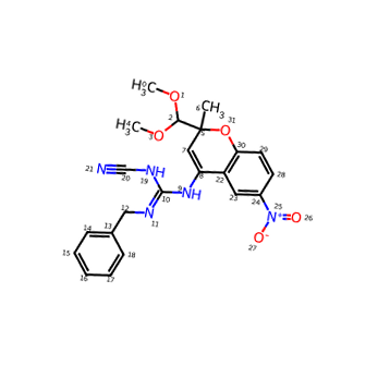 COC(OC)C1(C)C=C(NC(=NCc2ccccc2)NC#N)c2cc([N+](=O)[O-])ccc2O1